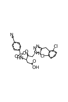 N#Cc1ccc(S(=O)(=O)NC(CC(=O)O)C(=O)Cn2nnc(Cc3c(Cl)cccc3Cl)n2)cc1